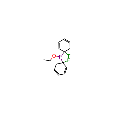 CCOP(C1(F)C=CC=CC1)C1(F)C=CC=CC1